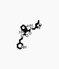 Cc1cc(CNC(=O)[C@H]2[C@H](C(=O)OCCC3CCCNC3)[C@H]3CC[C@@H]2C32CC2)no1